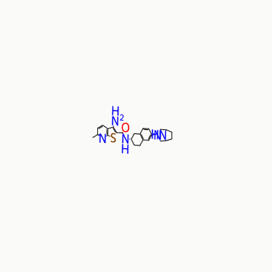 Cc1ccc2c(N)c(C(=O)N[C@H]3CCc4cc(N5CC6CCC(C5)N6)ccc4C3)sc2n1